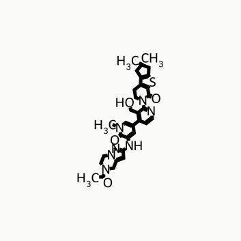 CC(=O)N1CCn2nc(Nc3cc(-c4ccnc(N5CCc6c(sc7c6CC(C)(C)C7)C5=O)c4CO)cn(C)c3=O)cc2C1